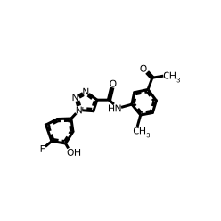 CC(=O)c1ccc(C)c(NC(=O)c2cn(-c3ccc(F)c(O)c3)nn2)c1